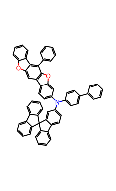 c1ccc(-c2ccc(N(c3ccc4c(c3)C3(c5ccccc5-c5ccccc53)c3ccccc3-4)c3ccc4c(c3)oc3c(-c5ccccc5)c5c(cc34)oc3ccccc35)cc2)cc1